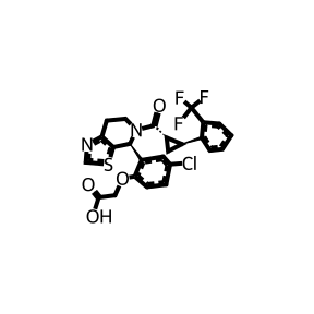 O=C(O)COc1ccc(Cl)cc1[C@H]1c2scnc2CCN1C(=O)[C@H]1C[C@@H]1c1ccccc1C(F)(F)F